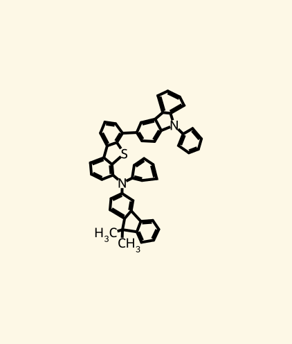 CC1(C)c2ccccc2-c2cc(N(c3ccccc3)c3cccc4c3sc3c(-c5ccc6c(c5)c5ccccc5n6-c5ccccc5)cccc34)ccc21